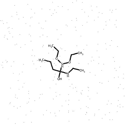 CCCC(O)(NCC)[SiH](OCC)OCC